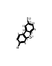 Ic1ccc2c(c1)sc1ccc(I)cc12